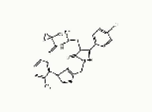 N#CC1(C(=O)NC(Cn2c(-c3ccc(Cl)cc3)nn(Cc3ncn(-c4ncccc4C(F)(F)F)n3)c2=O)C(F)(F)F)CC1